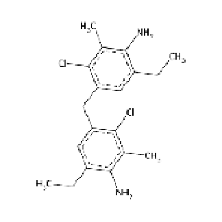 CCc1cc(Cc2cc(CC)c(N)c(C)c2Cl)c(Cl)c(C)c1N